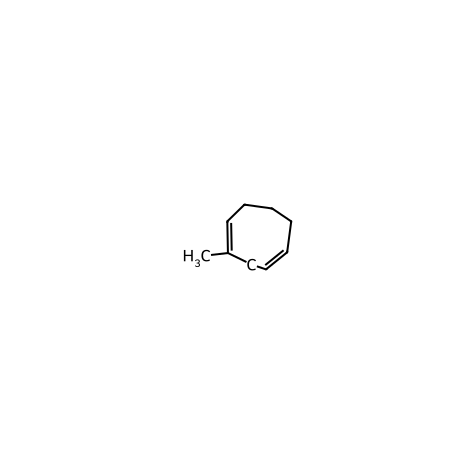 CC1=CCCCC=CC1